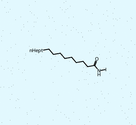 CCCCCCCCCCCCCCCC(=O)NI